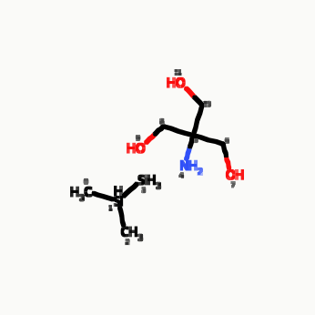 C[SiH](C)[SiH3].NC(CO)(CO)CO